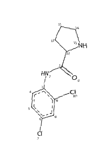 O=C(Nc1ccc(Cl)cc1Cl)C1CCCN1